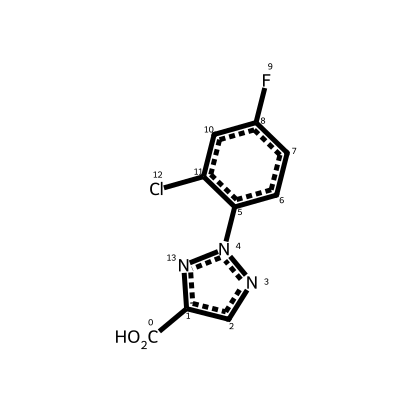 O=C(O)c1cnn(-c2ccc(F)cc2Cl)n1